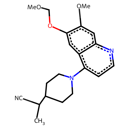 COCOc1cc2c(N3CCC(C(C)C#N)CC3)ccnc2cc1OC